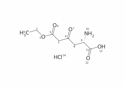 CCOC(=O)CC(=O)C[C@H](N)C(=O)O.Cl